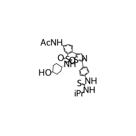 CC(=O)Nc1ccc(-c2cnc(-c3ccc(NC(=S)NC(C)C)cc3)s2)c(S(=O)(=O)N[C@H]2CC[C@H](O)CC2)c1